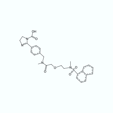 CN(Cc1ccc(C2=NCCN2C(=O)O)cc1)C(=O)COCCN(C)S(=O)(=O)c1cccc2ccccc12